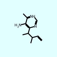 C=CC(C)C(C)C(/N=C\C)=C(\N)C(C)=N